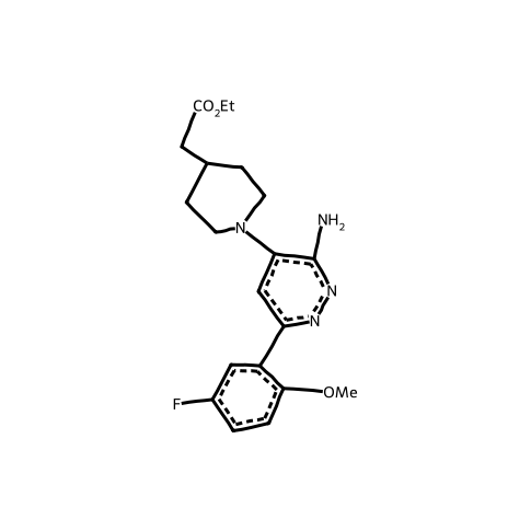 CCOC(=O)CC1CCN(c2cc(-c3cc(F)ccc3OC)nnc2N)CC1